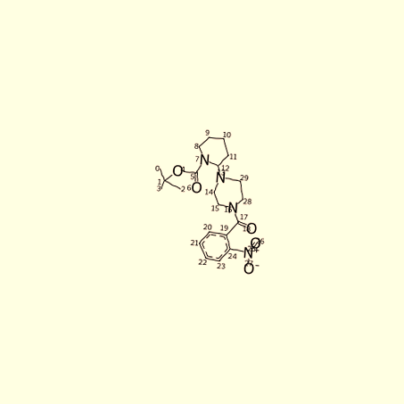 CC(C)(C)OC(=O)N1CCCCC1N1CCN(C(=O)c2ccccc2[N+](=O)[O-])CC1